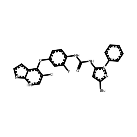 CC(C)(C)c1cc(NC(=O)Nc2ccc(Oc3c(Cl)c[nH]c4nccc3-4)cc2F)n(-c2ccccc2)n1